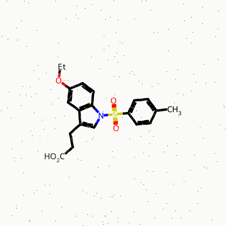 CCOc1ccc2c(c1)c(CCC(=O)O)cn2S(=O)(=O)c1ccc(C)cc1